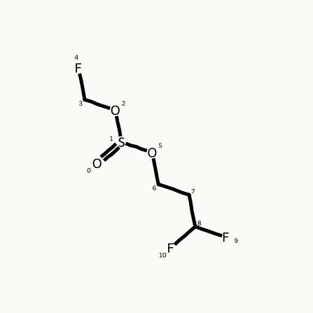 O=S(OCF)OCCC(F)F